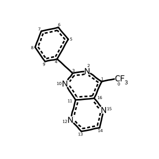 FC(F)(F)c1nc(-c2ccccc2)nc2nccnc12